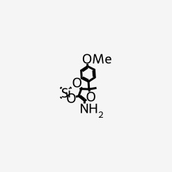 COc1ccc(C2(C)OC(N)=C(O[Si](C)(C)C)C2=O)cc1